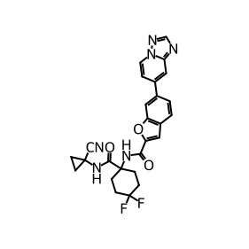 N#CC1(NC(=O)C2(NC(=O)c3cc4ccc(-c5ccn6ncnc6c5)cc4o3)CCC(F)(F)CC2)CC1